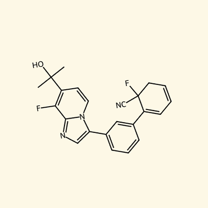 CC(C)(O)c1ccn2c(-c3cccc(C4=CC=CCC4(F)C#N)c3)cnc2c1F